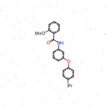 COc1ccccc1C(=O)Nc1cccc(Oc2ccc(C(C)C)cc2)c1